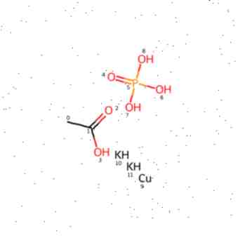 CC(=O)O.O=P(O)(O)O.[Cu].[KH].[KH]